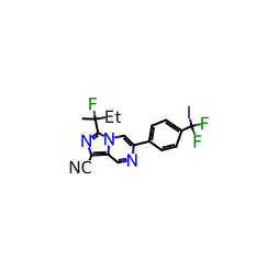 CCC(C)(F)c1nc(C#N)c2cnc(-c3ccc(C(F)(F)I)cc3)cn12